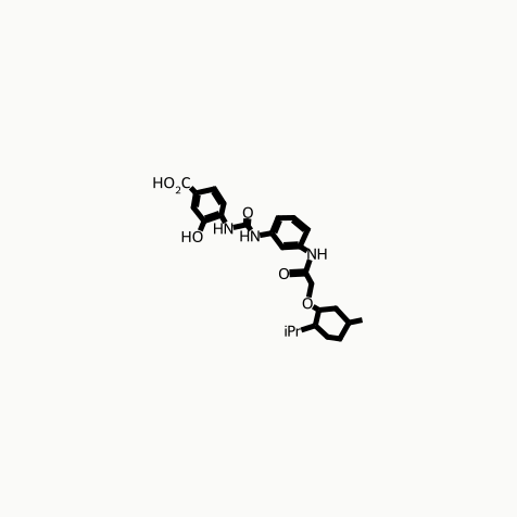 CC1CCC(C(C)C)C(OCC(=O)Nc2cccc(NC(=O)Nc3ccc(C(=O)O)cc3O)c2)C1